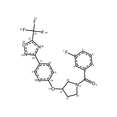 O=C(c1cccc(F)c1)N1CCC(Oc2ccc(-c3noc(C(F)(F)F)n3)cn2)C1